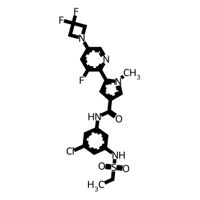 CCS(=O)(=O)Nc1cc(Cl)cc(NC(=O)c2cc(-c3ncc(N4CC(F)(F)C4)cc3F)n(C)c2)c1